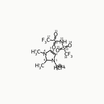 CCCCN1C=CN(C)C1C.Cl.O=S(=O)(NS(=O)(=O)C(F)(F)F)C(F)(F)F